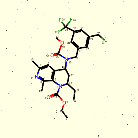 CCOC(=O)N1c2c(cc(C)nc2C)C(N(Cc2cc(CF)cc(C(F)(F)F)c2)C(=O)OC)CC1CC